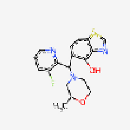 CC1CN(C(c2ccc3scnc3c2O)c2ncccc2F)CCO1